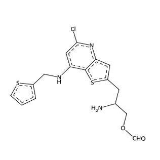 NC(COC=O)Cc1cc2nc(Cl)cc(NCc3cccs3)c2s1